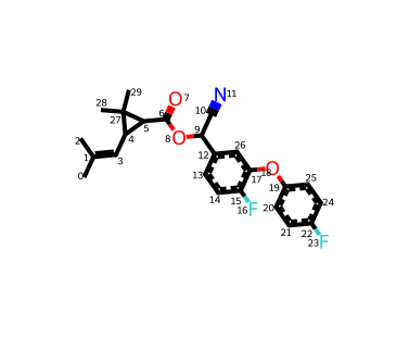 CC(C)=CC1C(C(=O)OC(C#N)c2ccc(F)c(Oc3ccc(F)cc3)c2)C1(C)C